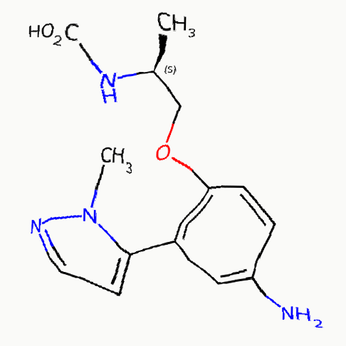 C[C@@H](COc1ccc(N)cc1-c1ccnn1C)NC(=O)O